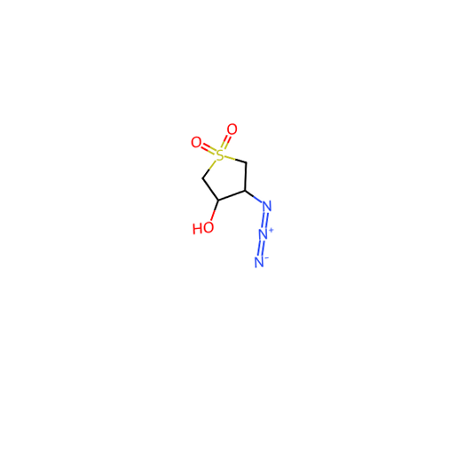 [N-]=[N+]=NC1CS(=O)(=O)CC1O